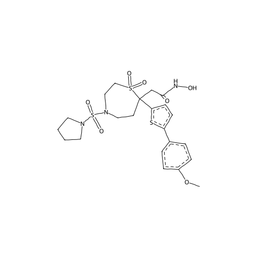 COc1ccc(-c2ccc(C3(CC(=O)NO)CCN(S(=O)(=O)N4CCCC4)CCS3(=O)=O)s2)cc1